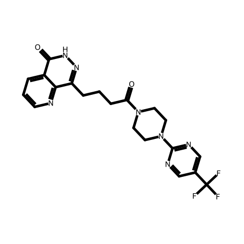 O=C(CCCc1n[nH]c(=O)c2cccnc12)N1CCN(c2ncc(C(F)(F)F)cn2)CC1